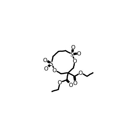 CCOC(=O)C1(C(=O)OCC)COS(=O)(=O)CCCS(=O)(=O)OC1